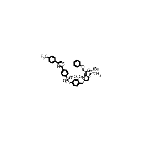 CC(C)(C)[Si](C)(C)O[C@H](COc1ccccc1)[C@H]1CC[C@@H](Cc2ccc(NS(=O)(=O)c3ccc(-c4nc(-c5ccc(C(F)(F)F)cc5)cs4)cc3)cc2)N1C(=O)O